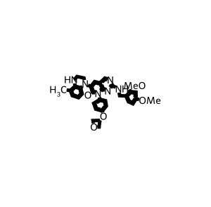 COc1ccc(CNc2ncc3cc(N4CCNc5c(C)cccc54)c(=O)n(-c4ccc(OC5COC5)cc4)c3n2)c(OC)c1